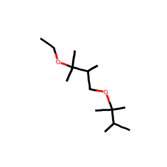 CCOC(C)(C)C(C)COC(C)(C)C(C)C